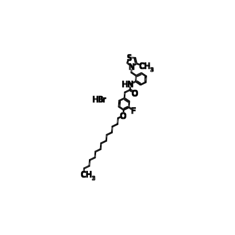 Br.CCCCCCCCCCCCCCOc1ccc(CC(=O)Nc2ccccc2CN2CSC=C2C)cc1F